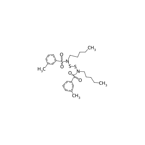 CCCCCN(SSN(CCCCC)S(=O)(=O)c1cccc(C)c1)S(=O)(=O)c1cccc(C)c1